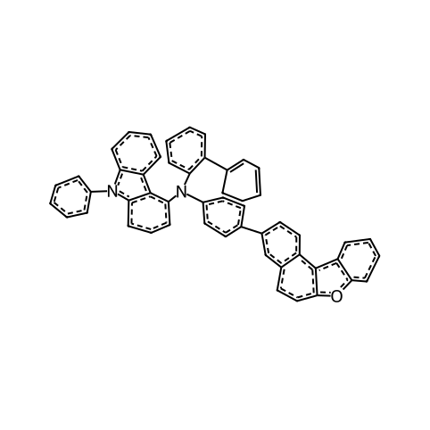 C1=CCCC(c2ccccc2N(c2ccc(-c3ccc4c(ccc5oc6ccccc6c54)c3)cc2)c2cccc3c2c2ccccc2n3-c2ccccc2)=C1